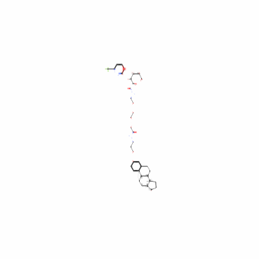 C[C@H]1O[C@H](C(=O)NCCOCCOCC(=O)NCCCOc2ccc3c(c2)CC[C@@H]2[C@@H]3CC[C@]3(C)[C@@H](O)CC[C@@H]23)[C@H](Oc2cccc(C(F)(F)F)n2)[C@@H](O)[C@H]1O